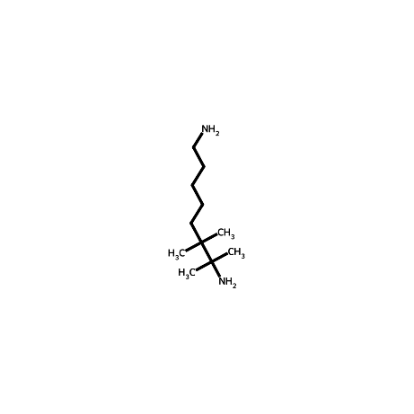 CC(C)(N)C(C)(C)CCCCCN